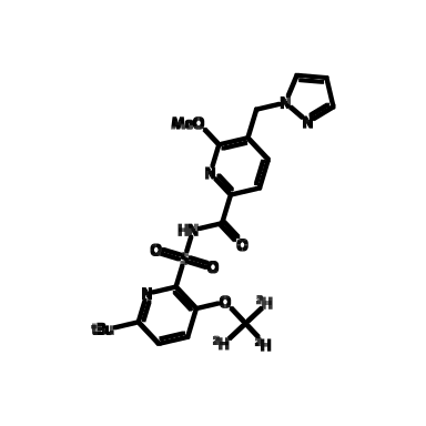 [2H]C([2H])([2H])Oc1ccc(C(C)(C)C)nc1S(=O)(=O)NC(=O)c1ccc(Cn2cccn2)c(OC)n1